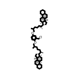 CC(CCC[C@@H](C)[C@H]1CC[C@H]2[C@@H]3CCC4CCCC[C@]4(C)[C@H]3CC[C@]12C)COc1ccc(OCC(C)CCC[C@@H](C)[C@H]2CC[C@H]3[C@@H]4CCC5CCCC[C@]5(C)[C@H]4CC[C@]23C)c(CCl)c1